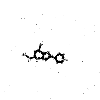 CC(C)(C)Nc1cc(Br)c2sc(-c3ccncc3)cc2n1